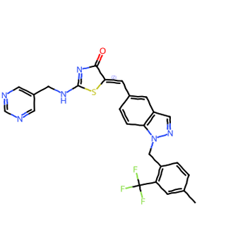 Cc1ccc(Cn2ncc3cc(/C=C4\SC(NCc5cncnc5)=NC4=O)ccc32)c(C(F)(F)F)c1